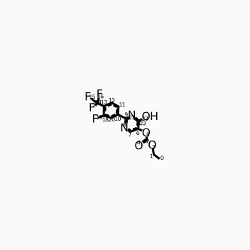 CCOC(=O)Oc1cnc(-c2ccc(C(F)(F)F)c(F)c2)nc1O